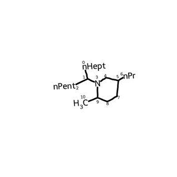 CCCCCCCC(CCCCC)N1CC(CCC)CCC1C